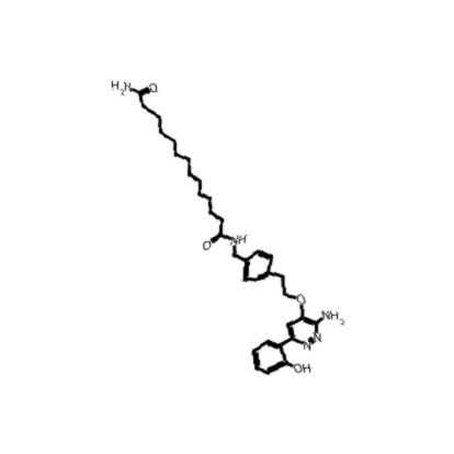 NC(=O)CCCCCCCCCCCCC(=O)NCc1ccc(CCOc2cc(-c3ccccc3O)nnc2N)cc1